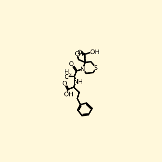 CCC1(C(=O)O)CSCCN1C(=O)C(C)NC(CCc1ccccc1)C(=O)O